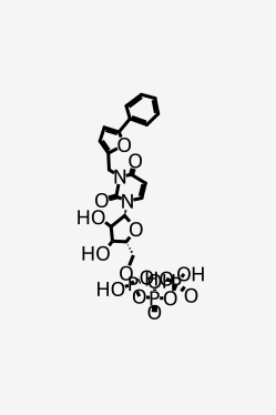 O=c1ccn([C@@H]2O[C@H](COP(=O)(O)OP(=O)(O)OP(=O)(O)O)C(O)C2O)c(=O)n1Cc1ccc(-c2ccccc2)o1